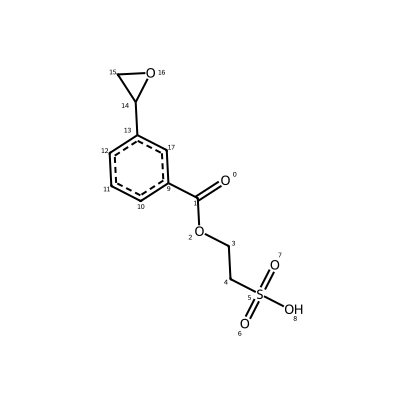 O=C(OCCS(=O)(=O)O)c1cccc(C2CO2)c1